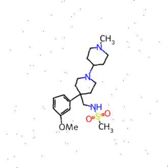 COc1cccc(C2(CNS(C)(=O)=O)CCN(C3CCN(C)CC3)CC2)c1